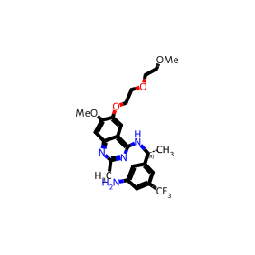 COCCOCCOc1cc2c(N[C@H](C)c3cc(N)cc(C(F)(F)F)c3)nc(C)nc2cc1OC